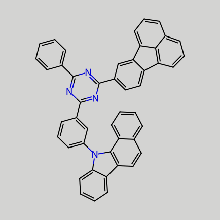 c1ccc(-c2nc(-c3cccc(-n4c5ccccc5c5ccc6ccccc6c54)c3)nc(-c3ccc4c(c3)-c3cccc5cccc-4c35)n2)cc1